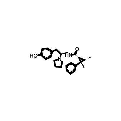 C[C@H]1[C@@H](C(=O)NC[C@H](Cc2ccc(O)cc2)N2CCCC2)[C@@]1(C)c1ccccc1